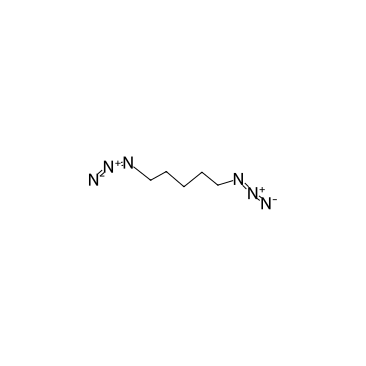 [N-]=[N+]=NCCCCCN=[N+]=[N-]